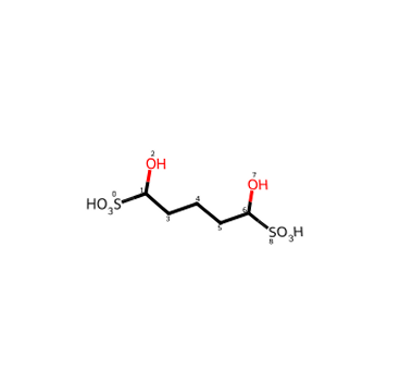 O=S(=O)(O)C(O)CCCC(O)S(=O)(=O)O